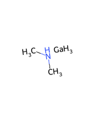 CNC.[GaH3]